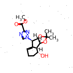 COC(=O)c1ncn([C@@H]2C3=CCC[C@@H](O)[C@@H]3[C@H]3OC(C)(C)O[C@H]32)n1